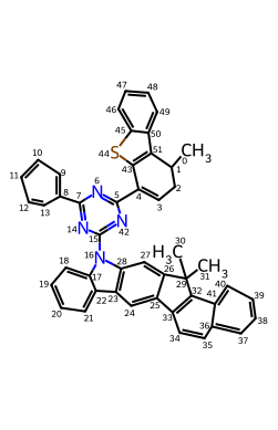 CC1CC=C(c2nc(-c3ccccc3)nc(-n3c4ccccc4c4cc5c(cc43)C(C)(C)c3c-5ccc4ccccc34)n2)c2sc3ccccc3c21